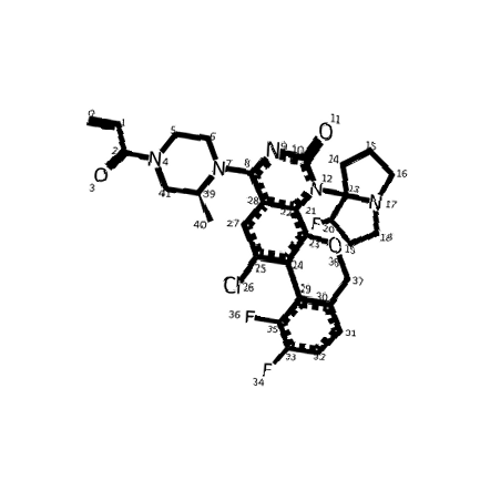 C=CC(=O)N1CCN(c2nc(=O)n(C34CCCN3CCC4F)c3c4c(c(Cl)cc23)-c2c(ccc(F)c2F)CO4)[C@@H](C)C1